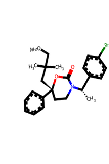 COCC(C)(C)C[C@]1(c2ccccc2)CCN([C@@H](C)c2ccc(Br)cc2)C(=O)O1